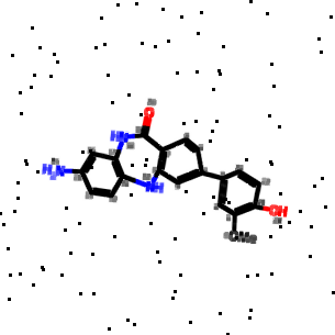 COc1cc(-c2ccc3c(c2)Nc2ccc(N)cc2NC3=O)ccc1O